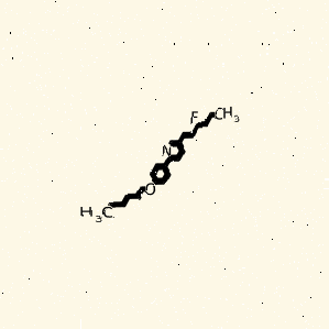 CCCCCCOc1ccc(-c2ccc(CCC(F)CCC)cn2)cc1